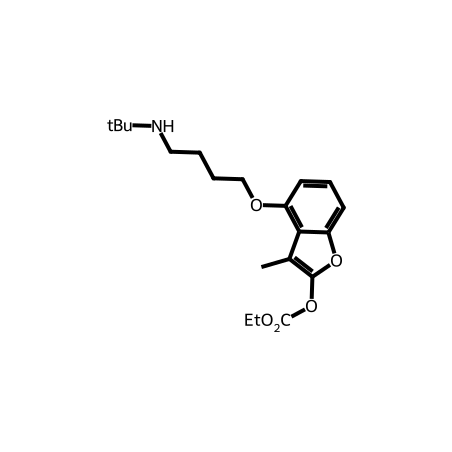 CCOC(=O)Oc1oc2cccc(OCCCCNC(C)(C)C)c2c1C